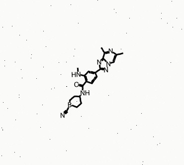 CNc1cc(-c2nc3c(C)nc(C)cn3n2)ccc1C(=O)NC1CCB(C#N)CC1